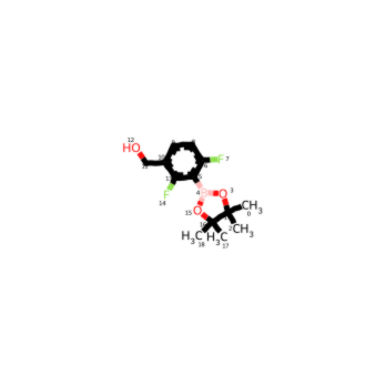 CC1(C)OB(c2c(F)ccc(CO)c2F)OC1(C)C